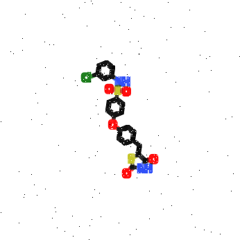 O=C1NC(=O)C(=Cc2ccc(Oc3ccc(S(=O)(=O)Nc4cccc(Cl)c4)cc3)cc2)S1